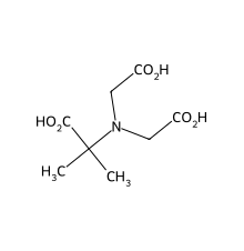 CC(C)(C(=O)O)N(CC(=O)O)CC(=O)O